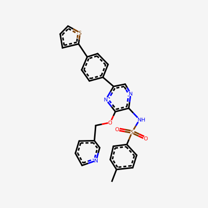 Cc1ccc(S(=O)(=O)Nc2ncc(-c3ccc(-c4cccs4)cc3)nc2OCc2cccnc2)cc1